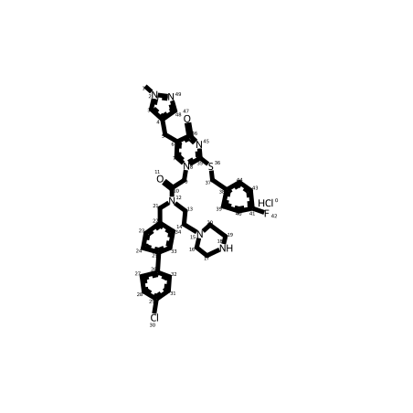 Cl.Cn1cc(Cc2cn(CC(=O)N(CCN3CCNCC3)Cc3ccc(-c4ccc(Cl)cc4)cc3)c(SCc3ccc(F)cc3)nc2=O)cn1